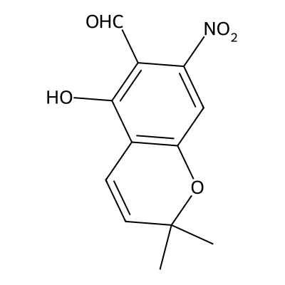 CC1(C)C=Cc2c(cc([N+](=O)[O-])c(C=O)c2O)O1